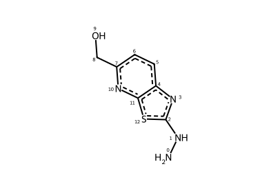 NNc1nc2ccc(CO)nc2s1